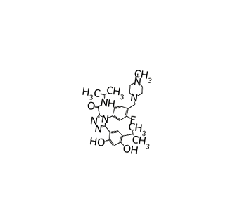 CC(C)NC(=O)c1nnc(-c2cc(C(C)C)c(O)cc2O)n1-c1ccc(CN2CCN(C)CC2)c(F)c1